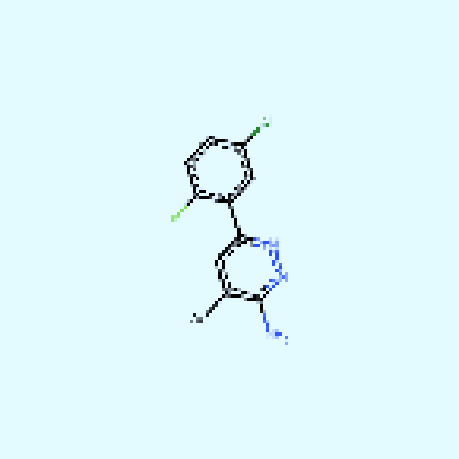 CC(=O)c1cc(-c2cc(Cl)ccc2F)nnc1N